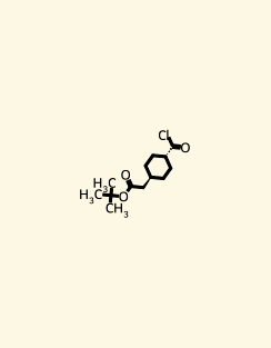 CC(C)(C)OC(=O)C[C@H]1CC[C@H](C(=O)Cl)CC1